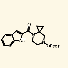 CCCCCN1CCN(C(=O)c2cc3ccccc3[nH]2)C2(CC2)C1